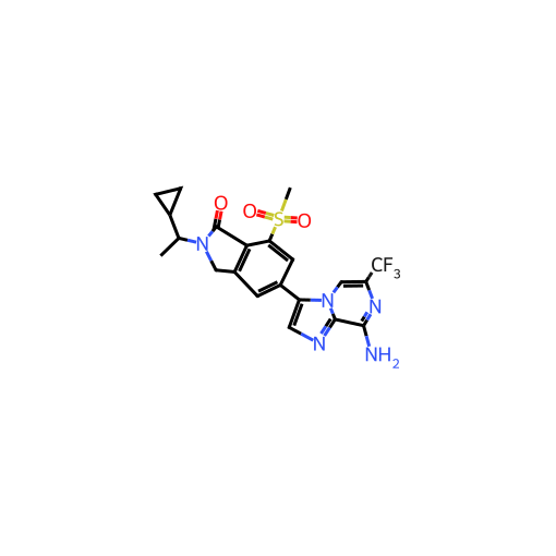 CC(C1CC1)N1Cc2cc(-c3cnc4c(N)nc(C(F)(F)F)cn34)cc(S(C)(=O)=O)c2C1=O